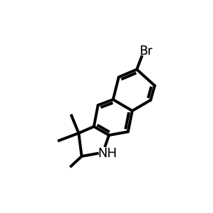 CC1Nc2cc3ccc(Br)cc3cc2C1(C)C